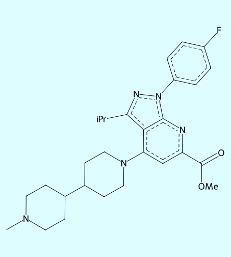 COC(=O)c1cc(N2CCC(C3CCN(C)CC3)CC2)c2c(C(C)C)nn(-c3ccc(F)cc3)c2n1